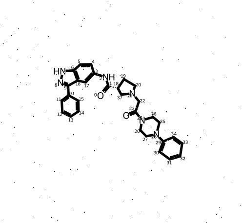 O=C(Nc1ccc2[nH]nc(-c3ccccc3)c2c1)[C@@H]1CCN(CC(=O)N2CCN(c3ccccc3)CC2)C1